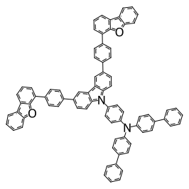 c1ccc(-c2ccc(N(c3ccc(-c4ccccc4)cc3)c3ccc(-n4c5ccc(-c6ccc(-c7cccc8c7oc7ccccc78)cc6)cc5c5cc(-c6ccc(-c7cccc8c7oc7ccccc78)cc6)ccc54)cc3)cc2)cc1